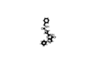 O=C(NCC1CCCCC1)N1CC(c2nc3c(cnn3-c3ccccc3)c(=O)[nH]2)C1